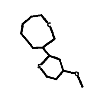 COC1CCSC([C]2CCCCCCC2)C1